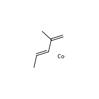 C=C(C)C=CC.[Co]